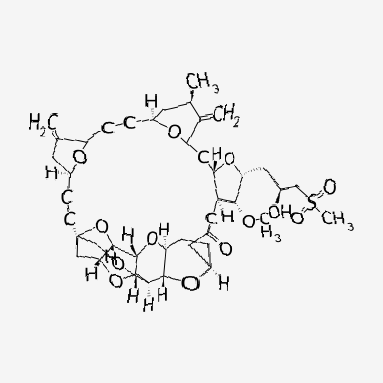 C=C1C[C@@H]2CC[C@@]34C[C@H]5O[C@H]6[C@@H](O3)[C@H]3O[C@H](CC[C@@H]3O[C@H]6[C@H]5O4)CC(=O)C[C@@H]3[C@@H](OC)[C@@H](C[C@H](O)CS(C)(=O)=O)O[C@H]3CC3O[C@@H](CCC1O2)C[C@@H](C)C3=C